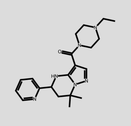 CCN1CCN(C(=O)c2cnn3c2NC(c2ccccn2)CC3(C)C)CC1